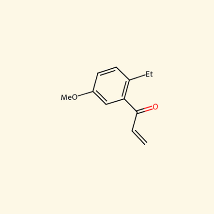 C=CC(=O)c1cc(OC)ccc1CC